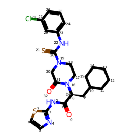 O=C(Nc1nccs1)[C@H](CC1CCCCC1)N1CCN(C(=S)Nc2cccc(Cl)c2)CC1=O